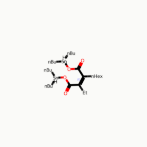 CCCCCC/C(C(=O)[O][SnH]([CH2]CCC)[CH2]CCC)=C(\CC)C(=O)[O][SnH]([CH2]CCC)[CH2]CCC